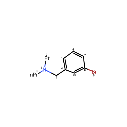 CCCN(CC)Cc1cccc(Br)c1